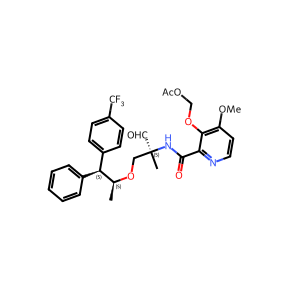 COc1ccnc(C(=O)N[C@](C)(C=O)CO[C@@H](C)[C@@H](c2ccccc2)c2ccc(C(F)(F)F)cc2)c1OCOC(C)=O